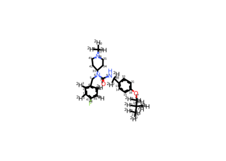 [2H]c1c([2H])c(CN(C(=O)NC([2H])([2H])c2ccc(OC([2H])([2H])C([2H])(C([2H])([2H])[2H])C([2H])([2H])[2H])cc2)C2CCN(C([2H])([2H])[2H])CC2)c([2H])c([2H])c1F